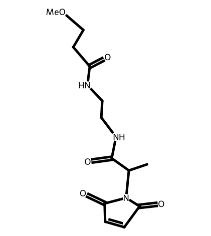 COCCC(=O)NCCNC(=O)C(C)N1C(=O)C=CC1=O